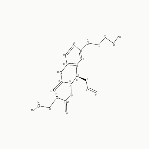 C=CC[C@@H]1c2cc(OCCCC)ccc2OC(=O)[C@H]1CC(=C)OCOC